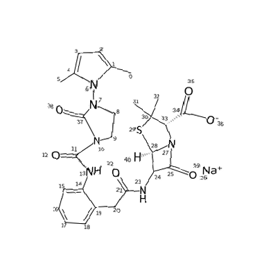 Cc1ccc(C)n1N1CCN(C(=O)Nc2ccccc2CC(=O)NC2C(=O)N3[C@@H]2SC(C)(C)[C@@H]3C(=O)[O-])C1=O.[Na+]